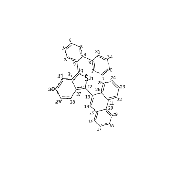 c1ccc(-c2ccccc2-c2sc(-c3cc4ccccc4c4ccccc34)c3ccccc23)cc1